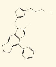 CCCCC1=CC[C]([Zr][CH]2C(C)=Cc3c2cc2c(c3-c3ccccc3)CCC2)=C1